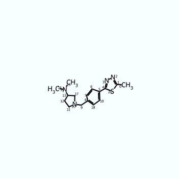 Cc1nnc(-c2ccc(CN3CCC(N(C)C)C3)cc2)s1